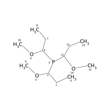 CCC(OC)P(C(CC)OC)C(CC)OC